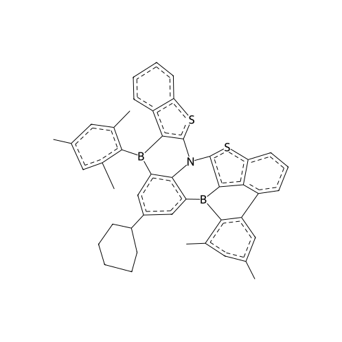 Cc1cc(C)c(B2c3cc(C4CCCCC4)cc4c3N(c3sc5ccccc5c32)c2sc3cccc5c3c2B4c2c(C)cc(C)cc2-5)c(C)c1